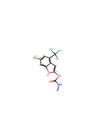 CNC(=O)Oc1cc2c(C(F)(F)F)cc(Br)cc2o1